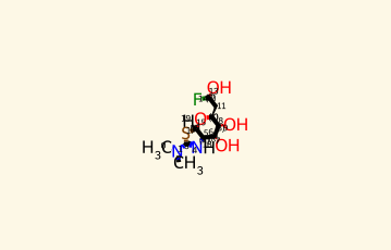 CN(C)C1=N[C@@H]2[C@@H](O)[C@H](O)[C@H](C[C@H](O)F)O[C@@H]2S1